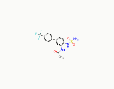 CC(=O)Nc1cc(-c2ccc(C(F)(F)F)cc2)ccc1NS(N)(=O)=O